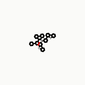 c1ccc(-c2cccc(-c3c(N(c4cccc(-c5cccc6c5sc5ccccc56)c4)c4ccc5oc6ccccc6c5c4)c4ccccc4c4ccccc34)c2)cc1